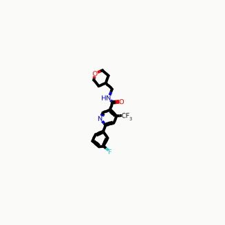 O=C(NCC1CCOCC1)c1cnc(-c2cccc(F)c2)cc1C(F)(F)F